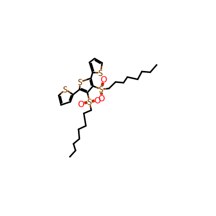 CCCCCCCCS(=O)(=O)c1c(-c2cccs2)sc(-c2cccs2)c1S(=O)(=O)CCCCCCCC